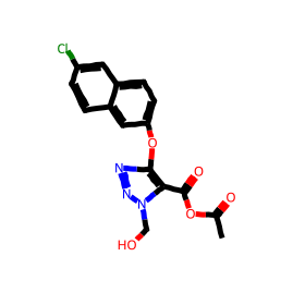 CC(=O)OC(=O)c1c(Oc2ccc3cc(Cl)ccc3c2)nnn1CO